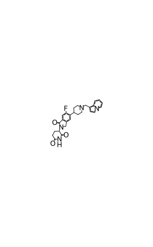 O=C1CCC(N2Cc3cc(C4CCN(Cc5ccn6ccccc56)CC4)c(F)cc3C2=O)C(=O)N1